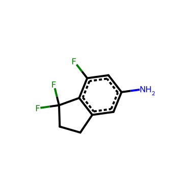 Nc1cc(F)c2c(c1)CCC2(F)F